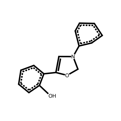 Oc1ccccc1C1=CN(c2ccccc2)CO1